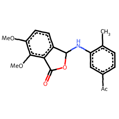 COc1ccc2c(c1OC)C(=O)OC2Nc1cc(C(C)=O)ccc1C